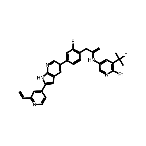 C=Cc1cc(-c2cc3cc(-c4ccc(CC(=C)Nc5cnc(CC)c(C(C)(C)F)c5)c(F)c4)cnc3[nH]2)ccn1